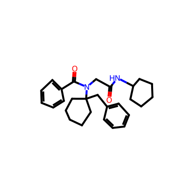 O=C(CN(C(=O)c1ccccc1)C1(Cc2ccccc2)CCCCC1)NC1CCCCC1